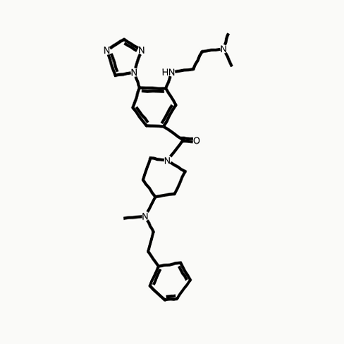 CN(C)CCNc1cc(C(=O)N2CCC(N(C)CCc3ccccc3)CC2)ccc1-n1cncn1